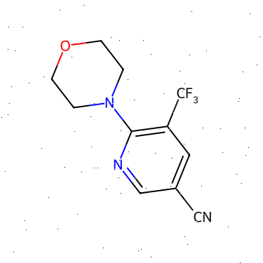 N#Cc1cnc(N2CCOCC2)c(C(F)(F)F)c1